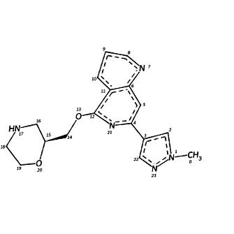 Cn1cc(-c2cc3ncccc3c(OC[C@@H]3CNCCO3)n2)cn1